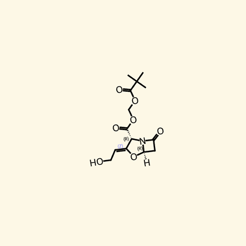 CC(C)(C)C(=O)OCOC(=O)[C@H]1/C(=C/CO)O[C@@H]2CC(=O)N21